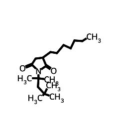 CCCCCCCC1CC(=O)N(C(C)(C)CC(C)(C)C)C1=O